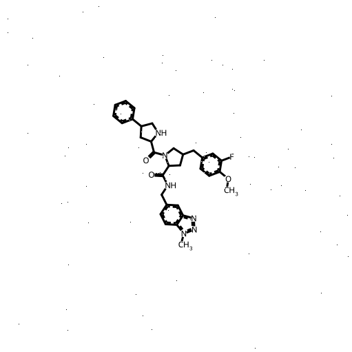 COc1ccc(CC2CC(C(=O)NCc3ccc4c(c3)nnn4C)N(C(=O)C3CC(c4ccccc4)CN3)C2)cc1F